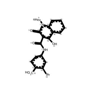 CCCCCCn1c(=O)c(C(=O)Nc2ccc(C(=O)O)c(C(C)C)c2)c(O)c2ccccc21